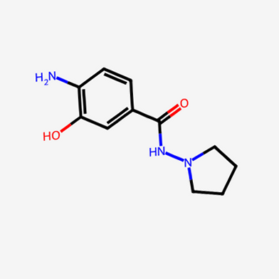 Nc1ccc(C(=O)NN2CCCC2)cc1O